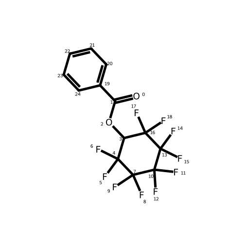 O=C(OC1C(F)(F)C(F)(F)C(F)(F)C(F)(F)C1(F)F)c1ccccc1